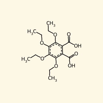 CCOc1c(OCC)c(OCC)c(C(=O)O)c(C(=O)O)c1OCC